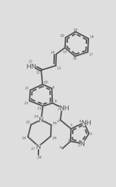 Cc1nc[nH]c1CNc1cc(C(=N)/C=C/c2ccccc2)ccc1N1CCN(C)CC1